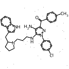 Cc1ccc(C(=O)c2nn(-c3ccc(Cl)cc3)c(NCCCN3CCCC3Cc3c[nH]c4ccccc34)c2N)cc1